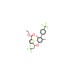 CCOC(=O)c1ccc(C(CC(F)(F)F)Oc2cc(C)c(-c3ccc(C(F)(F)F)cc3)c(C)c2)s1